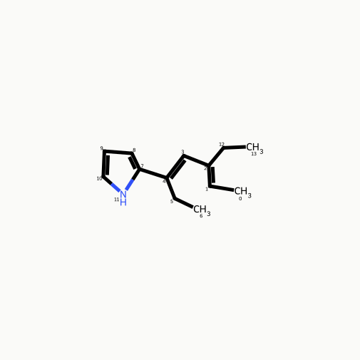 CC=C(C=C(CC)c1ccc[nH]1)CC